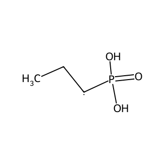 CC[CH]P(=O)(O)O